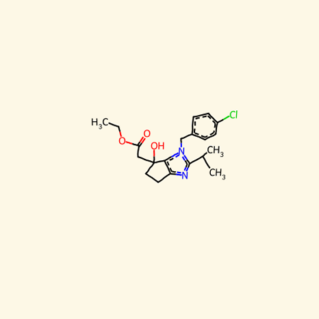 CCOC(=O)CC1(O)CCc2nc(C(C)C)n(Cc3ccc(Cl)cc3)c21